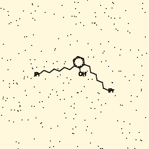 CC(C)CCCCCCc1cccc(CCCCCCC(C)C)c1O